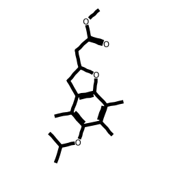 COC(=O)CC1Cc2c(C)c(OC(C)C)c(C)c(C)c2O1